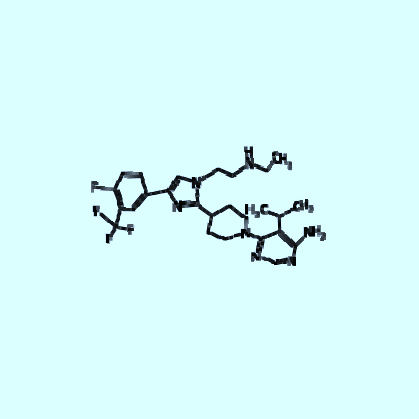 CCNCCn1cc(-c2ccc(F)c(C(F)(F)F)c2)nc1C1CCN(c2ncnc(N)c2C(C)C)CC1